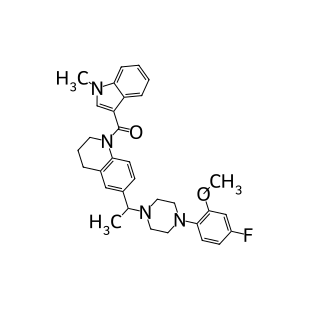 COc1cc(F)ccc1N1CCN(C(C)c2ccc3c(c2)CCCN3C(=O)c2cn(C)c3ccccc23)CC1